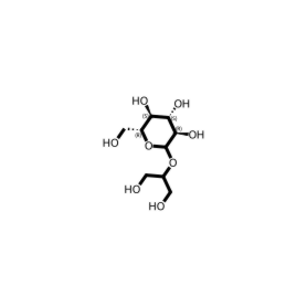 OCC(CO)OC1O[C@H](CO)[C@@H](O)[C@H](O)[C@H]1O